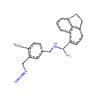 COc1ccc(CNC(C)c2ccc3c4c(cccc24)CC3)cc1CN=[N+]=[N-]